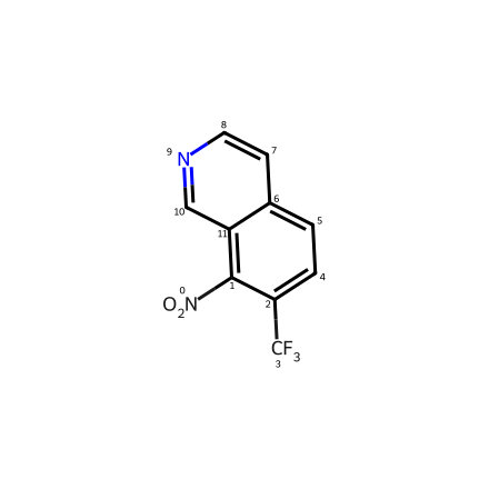 O=[N+]([O-])c1c(C(F)(F)F)ccc2ccncc12